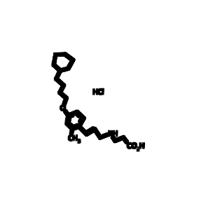 Cc1cc(OCCCCC2CCCCC2)ccc1C=CCNCCC(=O)O.Cl